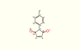 Cc1ccc(C2C(=O)C=CC2=O)cc1